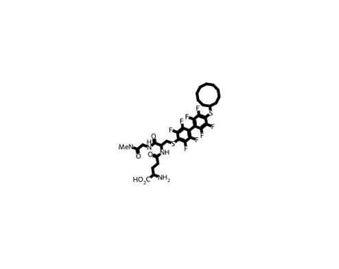 CNC(=O)CNC(=O)C(CSc1c(F)c(F)c(-c2c(F)c(F)c(SC3CCCCCCCCC3)c(F)c2F)c(F)c1F)NC(=O)CCC(N)C(=O)O